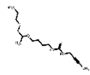 CC#CCNC(=O)NCCCCOC(C)SSCCNC